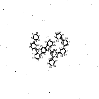 c1ccc(-c2cccc(-n3c4ccccc4c4cc5c(cc43)c3ccccc3n5-c3nc(-c4ccccc4)nc(-c4cccc(-c5cccc(-c6ccccc6)n5)c4)n3)c2)cc1